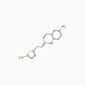 O=[N+]([O-])c1ccc2c(c1)C=C/C(=C\Cc1ccc([N+](=O)[O-])s1)N2